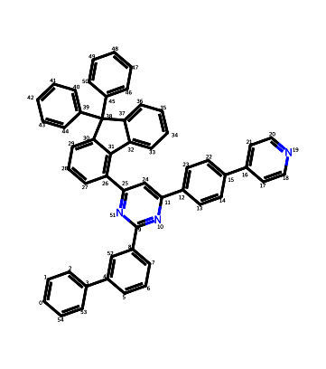 c1ccc(-c2cccc(-c3nc(-c4ccc(-c5ccncc5)cc4)cc(-c4cccc5c4-c4ccccc4C5(c4ccccc4)c4ccccc4)n3)c2)cc1